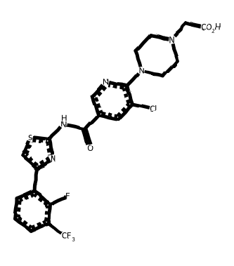 O=C(O)CN1CCN(c2ncc(C(=O)Nc3nc(-c4cccc(C(F)(F)F)c4F)cs3)cc2Cl)CC1